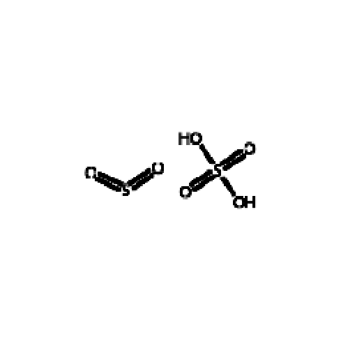 O=S(=O)(O)O.O=S=O